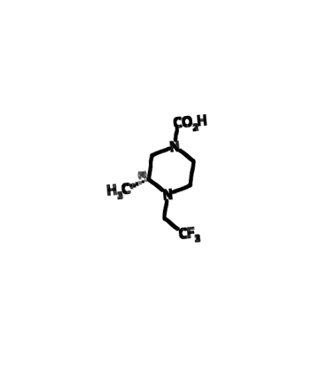 C[C@@H]1CN(C(=O)O)CCN1CC(F)(F)F